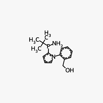 CC(C)(C)P(N)c1cccn1-c1ccccc1CO